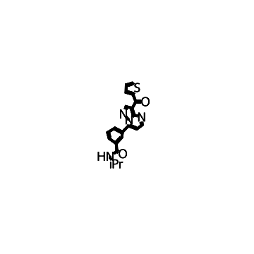 CC(C)NC(=O)c1cccc(-c2ccnc3c(C(=O)c4cccs4)cnn23)c1